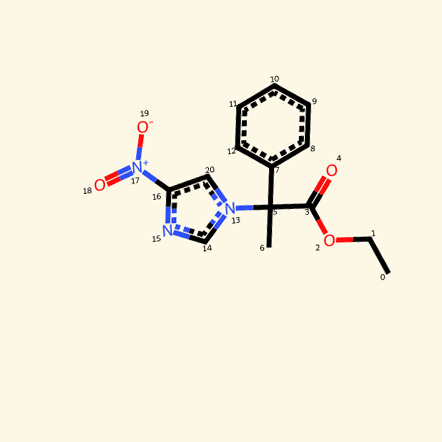 CCOC(=O)C(C)(c1ccccc1)n1cnc([N+](=O)[O-])c1